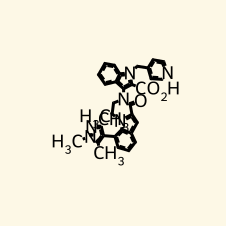 Cc1nn(C)c(C)c1-c1cccc2cc3n(c12)C(C)CN(c1c(C(=O)O)n(Cc2ccncc2)c2ccccc12)C3=O